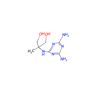 CC(CO)(CO)Nc1nc(N)nc(N)n1